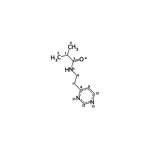 CC(C)C(=O)NCCc1ccncn1